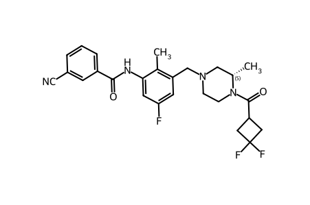 Cc1c(CN2CCN(C(=O)C3CC(F)(F)C3)[C@@H](C)C2)cc(F)cc1NC(=O)c1cccc(C#N)c1